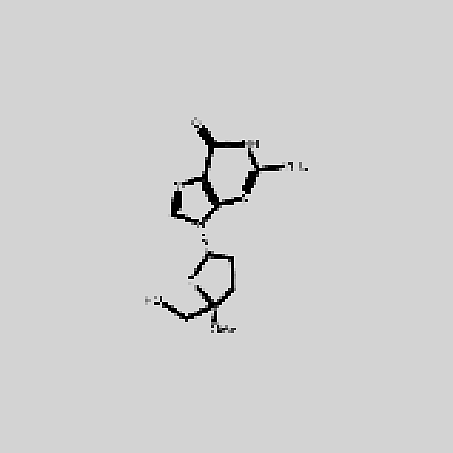 CO[C@]1(CO)CC[C@@H](n2cnc3c(=O)[nH]c(N)nc32)O1